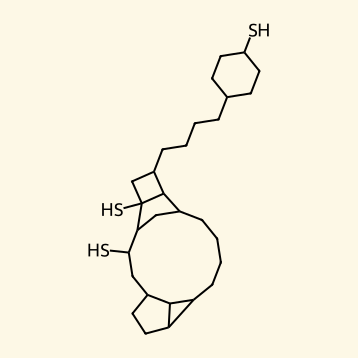 SC1CCC(CCCCC2CC3(S)C4CC(CCCCC5C6CCC(CC4S)C56)C23)CC1